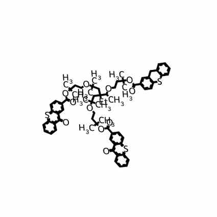 CCC(CC(C)(C)OCCC(C)(C)OC(=O)c1ccc2sc3ccccc3c(=O)c2c1)(CC(C)(C)OCCC(C)(C)OC(=O)c1ccc2sc3ccccc3c(=O)c2c1)C(C)OCCC(C)(C)OC(=O)c1ccc2c(c1)Cc1ccccc1S2